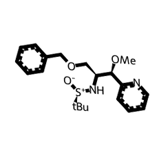 CO[C@@H](c1ccccn1)[C@H](COCc1ccccc1)N[S@+]([O-])C(C)(C)C